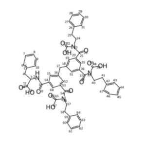 O=C(NC(Cc1ccccc1)C(=O)O)c1cc(Cc2cc(C(=O)N(CCc3ccccc3)C(=O)O)cc(C(=O)N(CCc3ccccc3)C(=O)O)c2)cc(C(=O)N(CCc2ccccc2)C(=O)O)c1